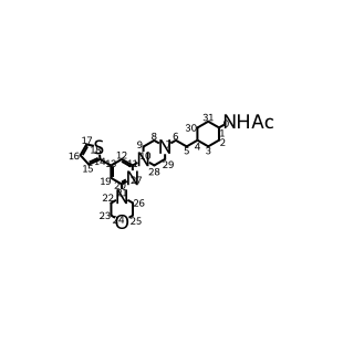 CC(=O)NC1CCC(CCN2CCN(c3cc(-c4cccs4)cc(N4CCOCC4)n3)CC2)CC1